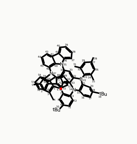 Cc1cc(C)c(B2c3cc(C(C)(C)C)ccc3N3c4ccc(C(C)(C)C)cc4B(c4c(C)cc(C)cc4C)c4cc(-n5c6ccccc6c6cccc(-n7c8ccccc8c8ccccc87)c65)cc2c43)c(C)c1